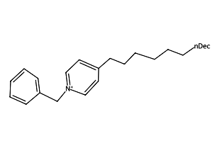 CCCCCCCCCCCCCCCCc1cc[n+](Cc2ccccc2)cc1